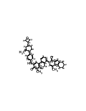 Cc1cn(-c2nccc(-c3cc(Nc4ccc(N5CCN(C6COC6)C[C@@H]5C)cn4)c(=O)n(C)c3)c2CO)c(=O)c2cc3c(n12)CCCC3